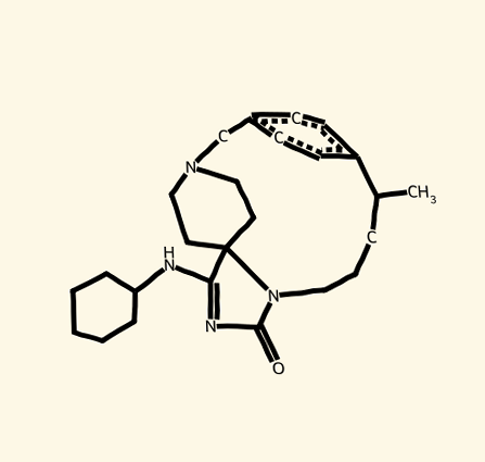 CC1CCCN2C(=O)N=C(NC3CCCCC3)C23CCN(CC3)Cc2ccc1cc2